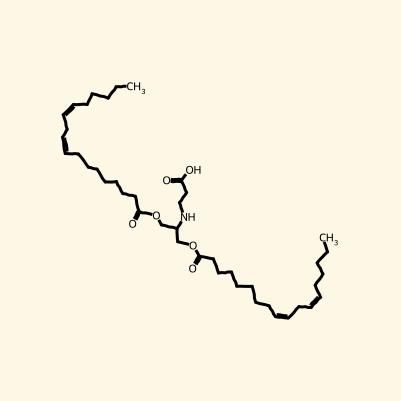 CCCCC/C=C\C/C=C\CCCCCCCC(=O)OCC(COC(=O)CCCCCCC/C=C\C/C=C\CCCCC)NCCC(=O)O